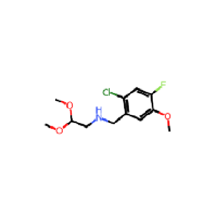 COc1cc(CNCC(OC)OC)c(Cl)cc1F